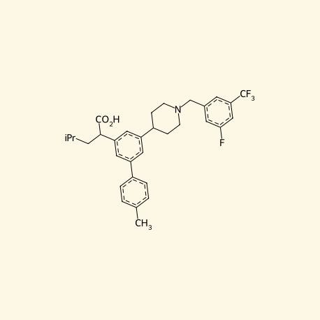 Cc1ccc(-c2cc(C3CCN(Cc4cc(F)cc(C(F)(F)F)c4)CC3)cc(C(CC(C)C)C(=O)O)c2)cc1